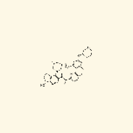 C[C@@H]1C[C@H](N)CN(c2c(NC(=O)c3ccc(F)c(-c4c(F)cc(OC5CCCOC5)cc4F)n3)cnc3c2CCC3O)C1